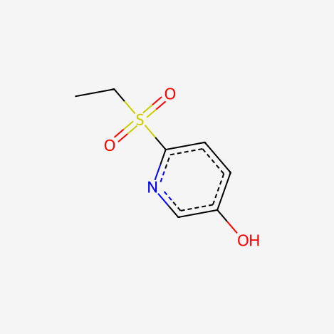 CCS(=O)(=O)c1ccc(O)cn1